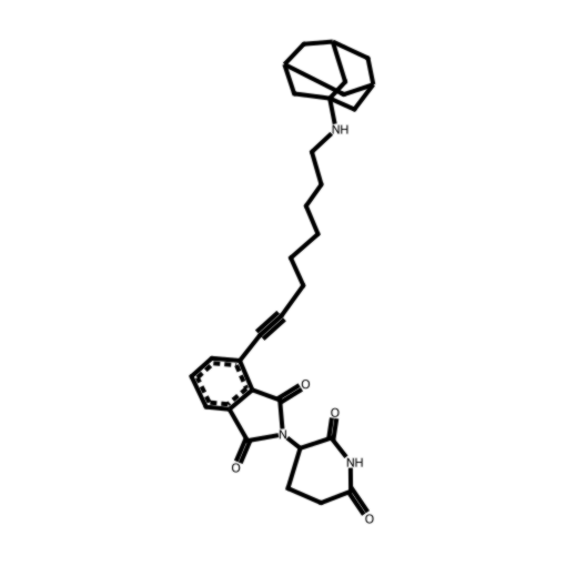 O=C1CCC(N2C(=O)c3cccc(C#CCCCCCCNC45CC6CC(CC(C6)C4)C5)c3C2=O)C(=O)N1